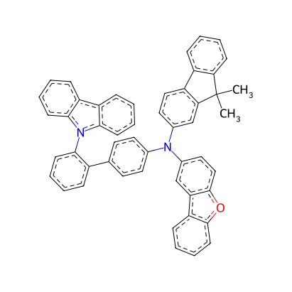 CC1(C)c2ccccc2-c2ccc(N(c3ccc(-c4ccccc4-n4c5ccccc5c5ccccc54)cc3)c3ccc4oc5ccccc5c4c3)cc21